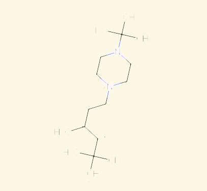 CC(CCN1CCN(C(C)(C)C)CC1)CC(C)(C)C